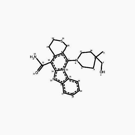 CC1(CO)CCN(c2c3c(c(C(N)=O)c4nc5ccccc5n24)CCSC3)CC1